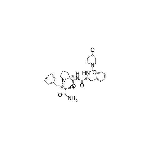 NC(=O)C(=O)[C@H](Cc1ccccc1)N1CCC[C@H]1C(=O)NC(=O)[C@H](Cc1ccccc1)NC(=O)N1CCC(=O)CC1